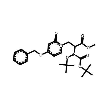 COC(=O)C(Cn1ccc(OCc2ccccc2)cc1=O)N(OC(C)(C)C)C(=O)OC(C)(C)C